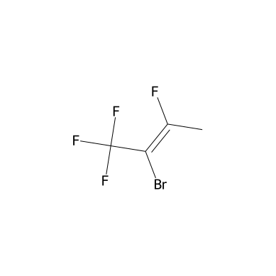 C/C(F)=C(\Br)C(F)(F)F